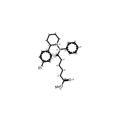 CCc1ccc(C2CCCCN2N(C(=O)CCCCC(=O)OC)c2ccccc2)cc1